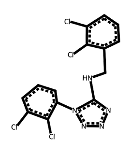 Clc1cccc(CNc2nnnn2-c2cccc(Cl)c2Cl)c1Cl